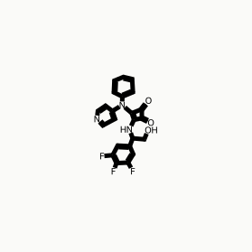 O=c1c(NC(CO)c2cc(F)c(F)c(F)c2)c(N(c2ccccc2)c2ccncc2)c1=O